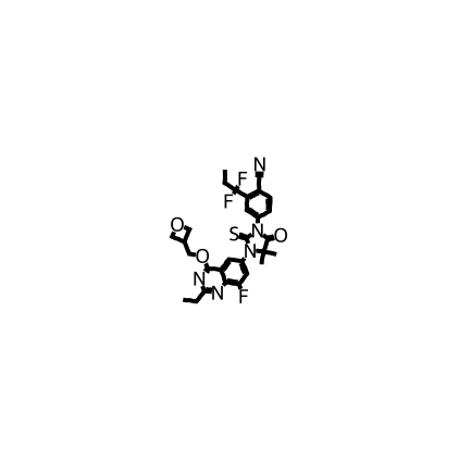 CCc1nc(OCC2COC2)c2cc(N3C(=S)N(c4ccc(C#N)c(C(F)(F)CC)c4)C(=O)C3(C)C)cc(F)c2n1